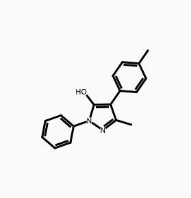 Cc1ccc(-c2c(C)nn(-c3ccccc3)c2O)cc1